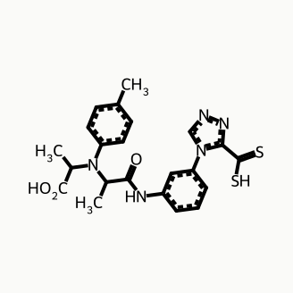 Cc1ccc(N(C(C)C(=O)O)C(C)C(=O)Nc2cccc(-n3cnnc3C(=S)S)c2)cc1